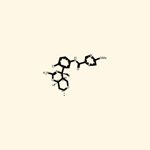 COc1cnc(C(=O)Nc2ccc(Cl)c([C@@]3(CF)N=C(N)O[C@@H]4C[C@@H](C)OC[C@@H]43)c2)cn1